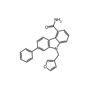 NC(=O)c1cccc2c1c1[c]cc(-c3ccccc3)cc1n2Cc1ccoc1